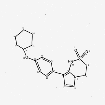 O=S1(=O)CCn2ccc(-c3ccc(OC4CCCCC4)cc3)c2N1